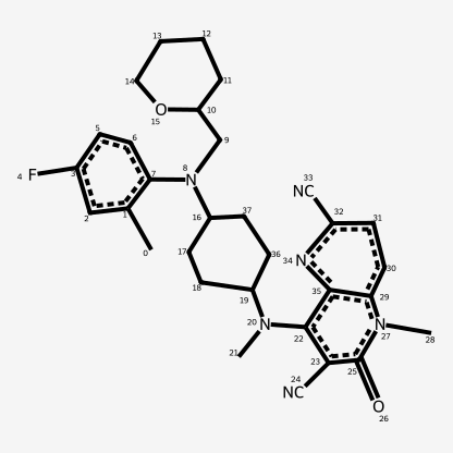 Cc1cc(F)ccc1N(CC1CCCCO1)C1CCC(N(C)c2c(C#N)c(=O)n(C)c3ccc(C#N)nc23)CC1